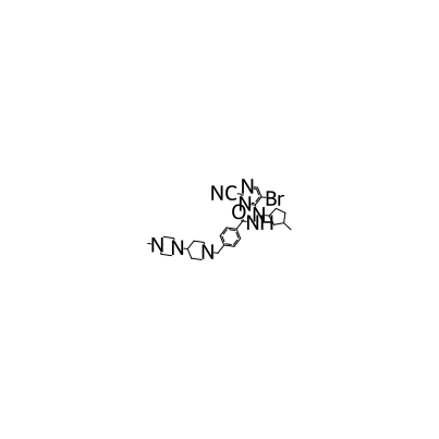 CC1CCC(N(NC(=O)c2ccc(CN3CCC(N4CCN(C)CC4)CC3)cc2)c2nc(C#N)ncc2Br)C1